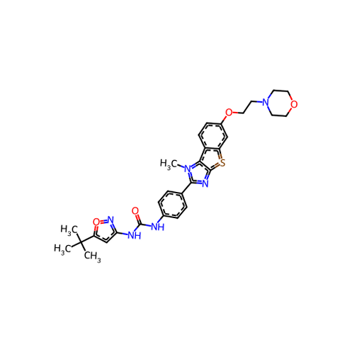 Cn1c(-c2ccc(NC(=O)Nc3cc(C(C)(C)C)on3)cc2)nc2sc3cc(OCCN4CCOCC4)ccc3c21